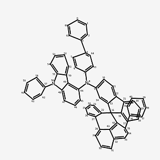 c1ccc(-c2ccc(N(c3ccc4c(c3)C3(c5ccccc5-4)c4ccccc4-c4cccc5ccc(-c6ccccc6)c3c45)c3cccc4c3c3ccccc3n4-c3ccccc3)cc2)cc1